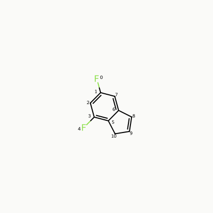 Fc1cc(F)c2c(c1)C=CC2